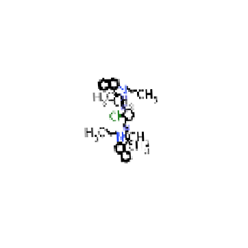 CCCCN1/C(=C/C=C2\CCCC(/C=C/C3N(CCCC)c4ccc5ccccc5c4C3(C)C)=C2Cl)C(C)(C)c2c1ccc1ccccc21